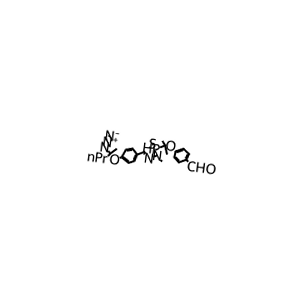 CCCC(C)(N=[N+]=[N-])Oc1ccc(/C=N/N(C)[PH](=S)C(C)(C)Oc2ccc(C=O)cc2)cc1